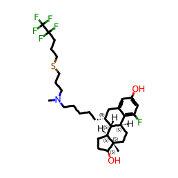 CN(CCCCC[C@@H]1Cc2cc(O)cc(F)c2[C@H]2CC[C@]3(C)[C@@H](O)CC[C@H]3[C@H]12)CCCSCCCC(F)(F)C(F)(F)F